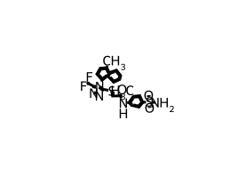 Cc1cc(S(N)(=O)=O)ccc1NC(=O)CSc1nnc(C(F)F)n1-c1ccc(C)c2ccccc12